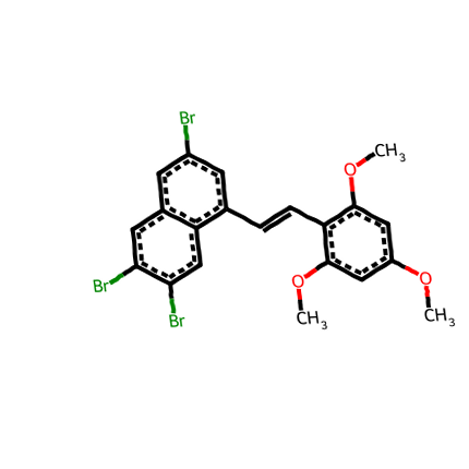 COc1cc(OC)c(/C=C/c2cc(Br)cc3cc(Br)c(Br)cc23)c(OC)c1